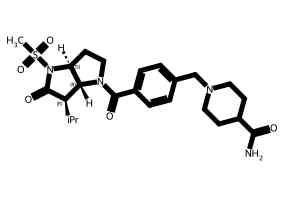 CC(C)[C@H]1C(=O)N(S(C)(=O)=O)[C@H]2CCN(C(=O)c3ccc(CN4CCC(C(N)=O)CC4)cc3)[C@H]12